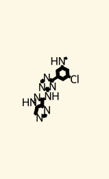 CNc1cc(Cl)cc(-c2ncnc(Nc3n[nH]c4cncnc34)n2)c1